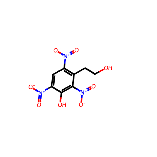 O=[N+]([O-])c1cc([N+](=O)[O-])c(CCO)c([N+](=O)[O-])c1O